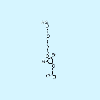 CCc1cc(OCC=C(Cl)Cl)cc(CC)c1OCCCCCCOCCC=NO